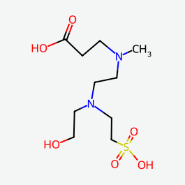 CN(CCC(=O)O)CCN(CCO)CCS(=O)(=O)O